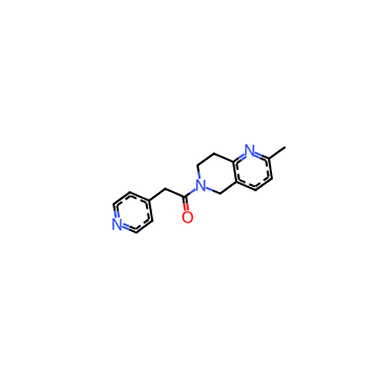 Cc1ccc2c(n1)CCN(C(=O)Cc1ccncc1)C2